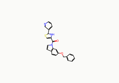 O=C(C1=CSC(c2cccnc2)N1)n1ccc2ccc(OCc3ccccc3)cc21